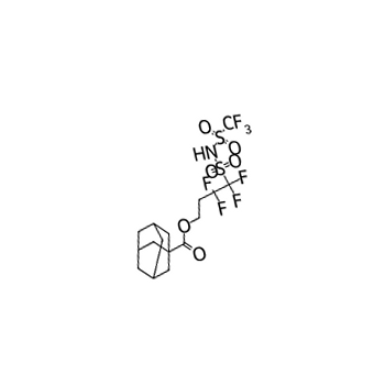 O=C(OCCC(F)(F)C(F)(F)S(=O)(=O)NS(=O)(=O)C(F)(F)F)C12CC3CC(CC(C3)C1)C2